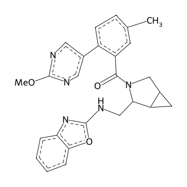 COc1ncc(-c2ccc(C)cc2C(=O)N2CC3CC3C2CNc2nc3ccccc3o2)cn1